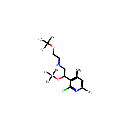 CC[Si](CC)(CC)OC(CNCCOC(C)(C)C(C)C)c1c(C)cc(C)nc1Cl